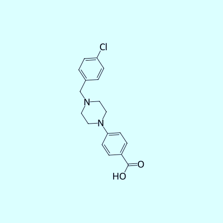 O=C(O)c1ccc(N2CCN(Cc3ccc(Cl)cc3)CC2)cc1